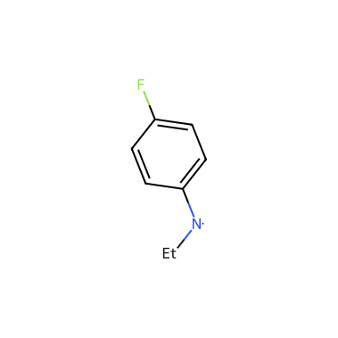 CC[N]c1ccc(F)cc1